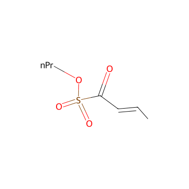 CC=CC(=O)S(=O)(=O)OCCC